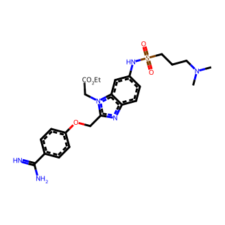 CCOC(=O)Cn1c(COc2ccc(C(=N)N)cc2)nc2ccc(NS(=O)(=O)CCCN(C)C)cc21